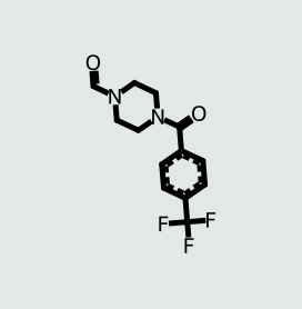 O=CN1CCN(C(=O)c2ccc(C(F)(F)F)cc2)CC1